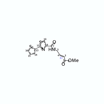 COC(=O)/C=C/CNC(=O)c1csc(-c2cccs2)n1